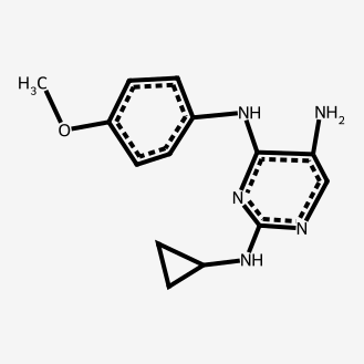 COc1ccc(Nc2nc(NC3CC3)ncc2N)cc1